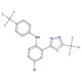 FC(F)(F)c1ccc(Nc2ccc(Br)cc2-c2nnc(C(F)(F)F)s2)cc1